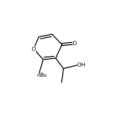 CCCCc1occc(=O)c1C(C)O